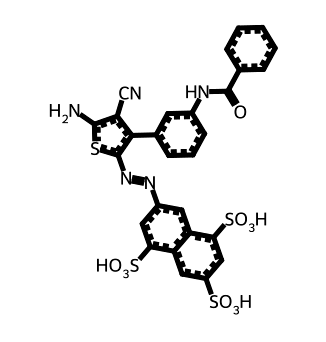 N#Cc1c(N)sc(/N=N/c2cc(S(=O)(=O)O)c3cc(S(=O)(=O)O)cc(S(=O)(=O)O)c3c2)c1-c1cccc(NC(=O)c2ccccc2)c1